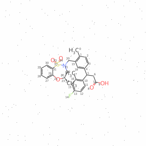 Cc1ccc(C(CC(=O)O)c2ccc(F)cc2C)cc1CN1C[C@@H](C)Oc2ccccc2S1(=O)=O